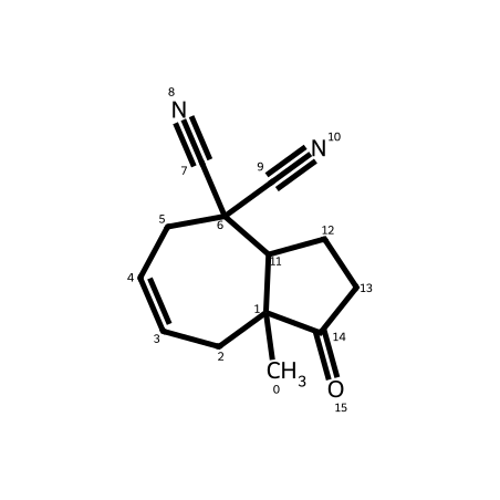 CC12CC=CCC(C#N)(C#N)C1CCC2=O